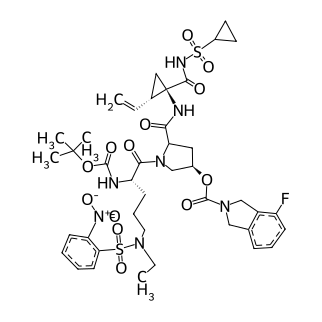 C=C[C@@H]1C[C@]1(NC(=O)C1C[C@@H](OC(=O)N2Cc3cccc(F)c3C2)CN1C(=O)[C@H](CCCN(CC)S(=O)(=O)c1ccccc1[N+](=O)[O-])NC(=O)OC(C)(C)C)C(=O)NS(=O)(=O)C1CC1